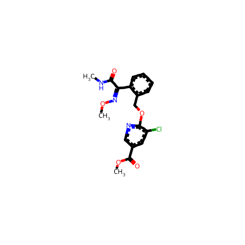 CNC(=O)C(=NOC)c1ccccc1COc1ncc(C(=O)OC)cc1Cl